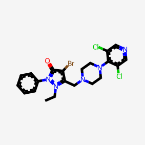 CCn1c(CN2CCN(c3c(Cl)cncc3Cl)CC2)c(Br)c(=O)n1-c1ccccc1